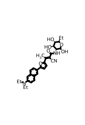 CC[C@H]1OC(O)[C@H](NC(=O)/C(C#N)=C(\C)c2ccc(-c3ccc4cc(N(CC)CC)ccc4c3)o2)[C@@H](O)[C@@H]1O